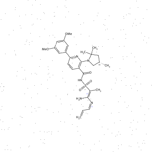 C=C/C=N\C(N)=C(/C)S(=O)(=O)NC(=O)c1ccc(-c2cc(OC)cc(OC)c2)nc1N1C[C@@H](C)CC1(C)C